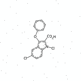 O=C(O)c1c(Oc2ccccc2)c2cc(Cl)ccc2n1Cl